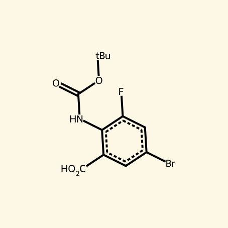 CC(C)(C)OC(=O)Nc1c(F)cc(Br)cc1C(=O)O